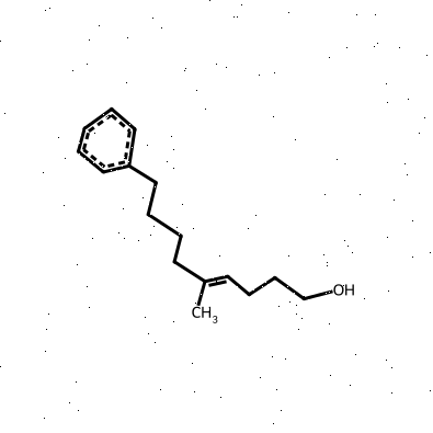 CC(=CCCCO)CCCCc1ccccc1